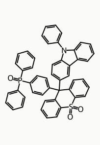 O=P(c1ccccc1)(c1ccccc1)c1ccc(C2(c3ccc4c(c3)c3ccccc3n4-c3ccccc3)c3ccccc3S(=O)(=O)c3ccccc32)cc1